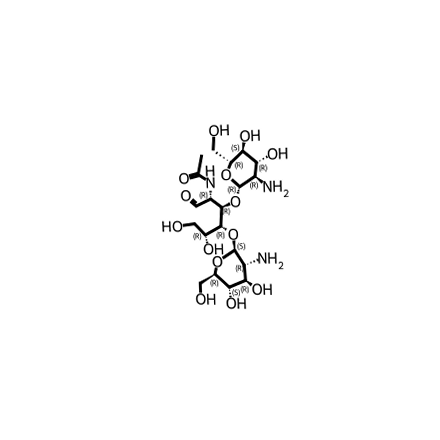 CC(=O)N[C@@H](C=O)[C@@H](O[C@@H]1O[C@H](CO)[C@@H](O)[C@H](O)[C@H]1N)[C@H](O[C@@H]1O[C@H](CO)[C@@H](O)[C@H](O)[C@H]1N)[C@H](O)CO